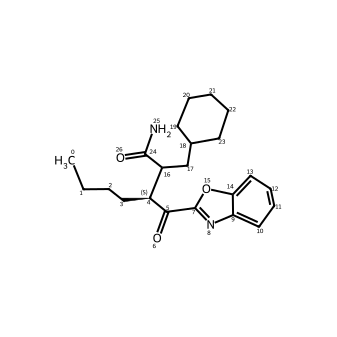 CCCC[C@H](C(=O)c1nc2ccccc2o1)C(CC1CCCCC1)C(N)=O